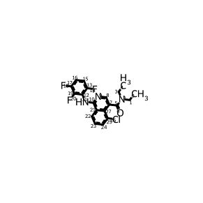 CCN(CC)C(=O)c1cnc(Nc2c(F)ccc(F)c2F)c2cccc(Cl)c12